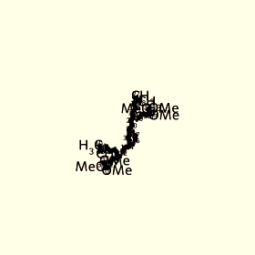 CO[Si](CCCN(CCCN(C)C)CCCN1CCN(CCCN(CCCN(C)C)CCC[Si](OC)(OC)OC)C1)(OC)OC